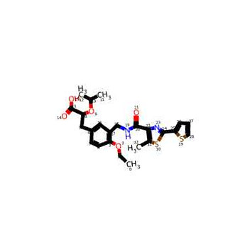 CCOc1ccc(CC(OC(C)C)C(=O)O)cc1CNC(=O)c1nc(-c2cccs2)sc1C